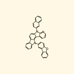 c1ccc2cc(-n3c4ccc5c6ccccc6n(-c6ccc7oc8ccccc8c7c6)c5c4c4cccnc43)ccc2c1